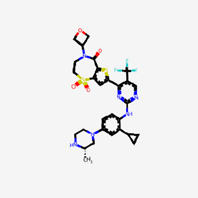 C[C@H]1CN(c2ccc(Nc3ncc(C(F)(F)F)c(-c4cc5c(s4)C(=O)N(C4COC4)CCS5(=O)=O)n3)c(C3CC3)c2)CCN1